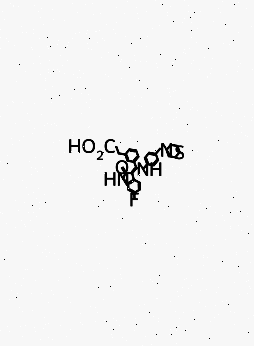 O=C(O)CCc1cccc(C(Nc2ccc(CN3CCSCC3)cc2)=C2C(=O)Nc3cc(F)ccc32)c1